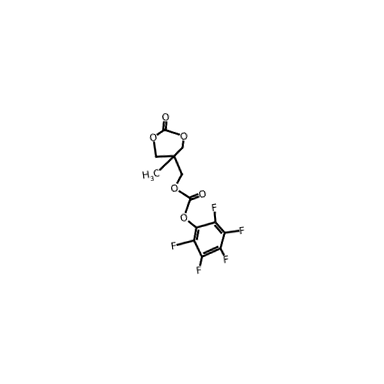 CC1(COC(=O)Oc2c(F)c(F)c(F)c(F)c2F)COC(=O)OC1